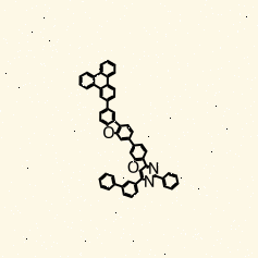 c1ccc(-c2cccc(-c3nc(-c4ccccc4)nc4c3oc3cc(-c5ccc6c(c5)oc5ccc(-c7ccc8c9ccccc9c9ccccc9c8c7)cc56)ccc34)c2)cc1